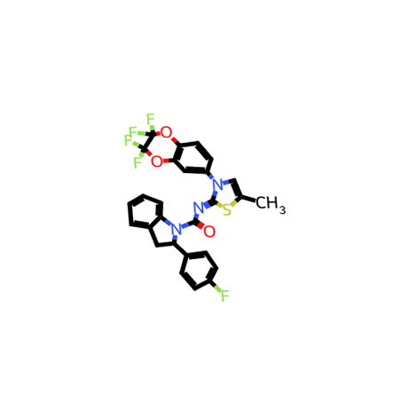 Cc1cn(-c2ccc3c(c2)OC(F)(F)C(F)(F)O3)c(=NC(=O)N2c3ccccc3CC2c2ccc(F)cc2)s1